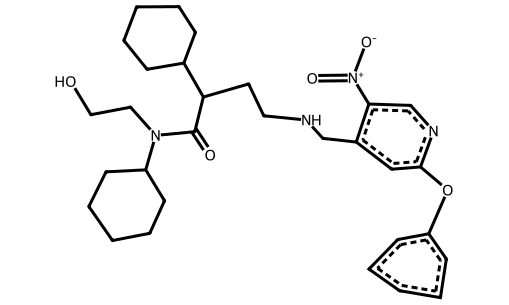 O=C(C(CCNCc1cc(Oc2ccccc2)ncc1[N+](=O)[O-])C1CCCCC1)N(CCO)C1CCCCC1